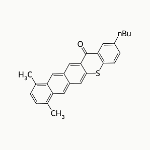 CCCCc1ccc2sc3cc4cc5c(C)ccc(C)c5cc4cc3c(=O)c2c1